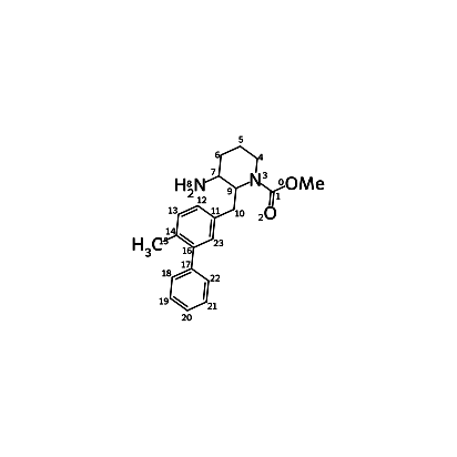 COC(=O)N1CCCC(N)C1Cc1ccc(C)c(-c2ccccc2)c1